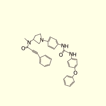 CN(C(=O)C#Cc1ccccc1)C1CCN(c2ccc(NC(=O)Nc3ccc(Oc4ccccc4)cc3)cc2)C1